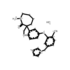 COCC1(c2cccc(Oc3cc(Cn4ccnc4)ccc3C#N)c2)CCCCN(C)C1=O.Cl